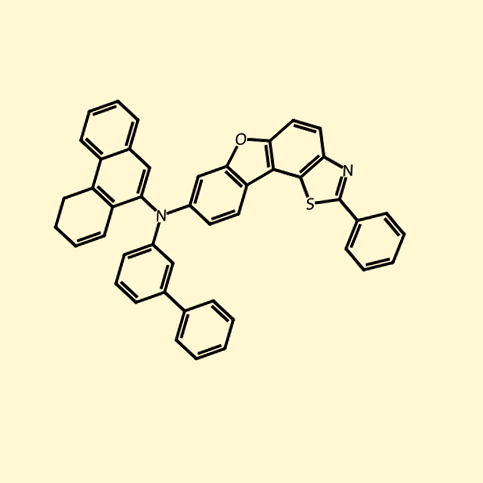 C1=Cc2c(N(c3cccc(-c4ccccc4)c3)c3ccc4c(c3)oc3ccc5nc(-c6ccccc6)sc5c34)cc3ccccc3c2CC1